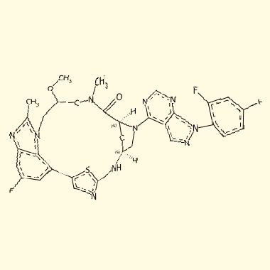 COC1CN(C)C(=O)[C@@H]2C[C@@H](CN2c2ncnc3c2cnn3-c2ccc(F)cc2F)Nc2ncc(s2)-c2cc(F)cc3nc(C)n(c23)C1